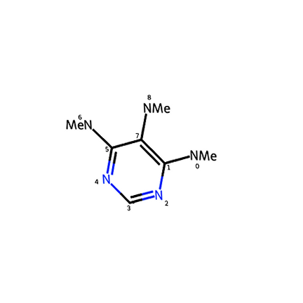 CNc1n[c]nc(NC)c1NC